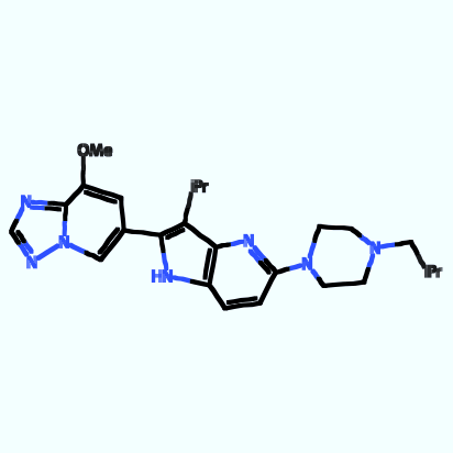 COc1cc(-c2[nH]c3ccc(N4CCN(CC(C)C)CC4)nc3c2C(C)C)cn2ncnc12